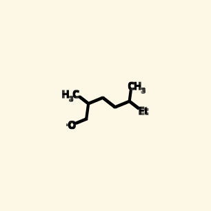 CCC(C)CCC(C)C[O]